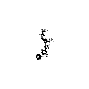 CCc1cc(CN2CC(C(=O)O)C2)sc1-n1cnc(-c2ccc(Oc3ccccc3)c(Cl)c2)c1